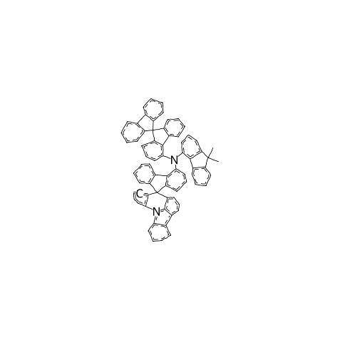 CC1(C)c2ccccc2-c2c(N(c3cccc4c3-c3ccccc3C43c4ccccc4-c4ccccc43)c3cccc4c3-c3ccccc3C43c4ccccc4-n4c5ccccc5c5cccc3c54)cccc21